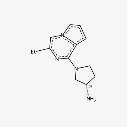 CCc1cn2cccc2c(N2CC[C@H](N)C2)n1